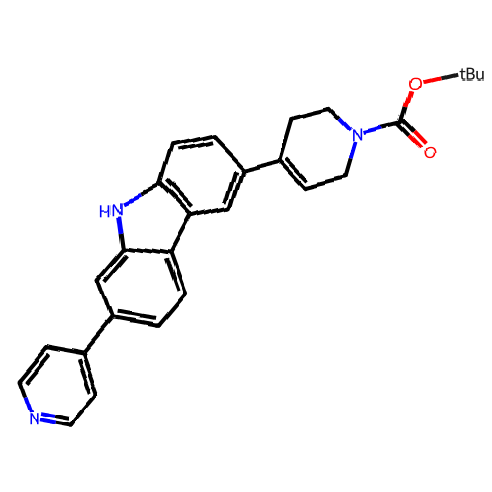 CC(C)(C)OC(=O)N1CC=C(c2ccc3[nH]c4cc(-c5ccncc5)ccc4c3c2)CC1